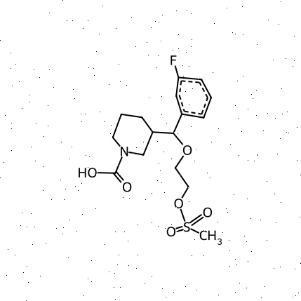 CS(=O)(=O)OCCOC(c1cccc(F)c1)C1CCCN(C(=O)O)C1